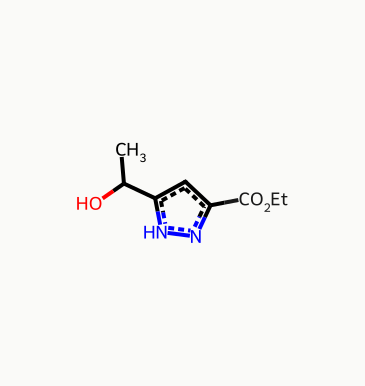 CCOC(=O)c1cc(C(C)O)[nH]n1